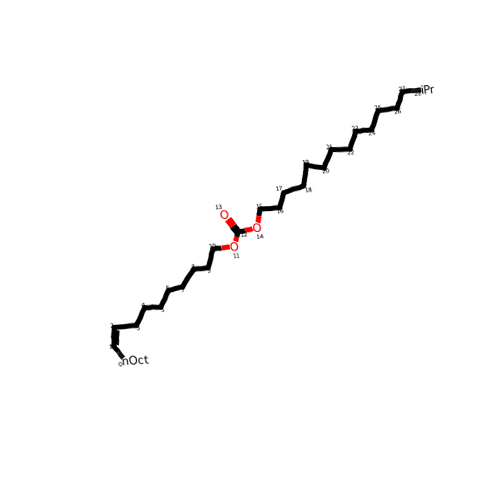 CCCCCCCC/C=C\CCCCCCCCOC(=O)OCCCCCCCCCCCCCC(C)C